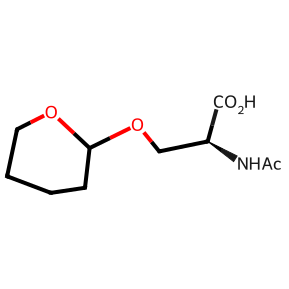 CC(=O)N[C@@H](COC1CCCCO1)C(=O)O